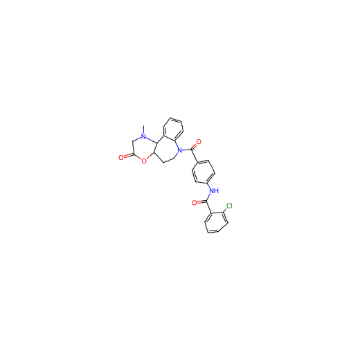 CN1CC(=O)OC2CCN(C(=O)c3ccc(NC(=O)c4ccccc4Cl)cc3)c3ccccc3C21